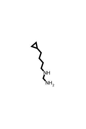 NCNCCCCC1CC1